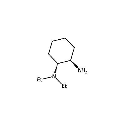 CCN(CC)[C@@H]1CCCC[C@H]1N